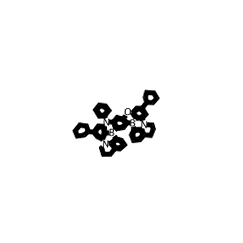 c1ccc(N2c3cc4c(cc3B3c5cccc6c5N(CCC6)c5cc(C6CCCCC6)cc2c53)B2c3cccc5c3N(CCC5)c3cc(C5CCCCC5)cc(c32)O4)cc1